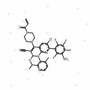 C=CC(=O)N1CCN(C2=C(C#N)C3OC(C)c4nccc(C)c4N3c3nc(-c4c(F)c(N)c(F)c(F)c4F)c(Cl)cc32)CC1